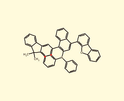 CC1(C)c2ccccc2-c2cc(-c3c(N(c4ccccc4)c4ccccc4)cc(-c4cccc5c4oc4ccccc45)c4ccccc34)ccc21